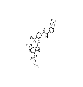 CCOC(=O)Oc1cnc(N)c2c(COc3cc(C(=O)Nc4cccc(OC(F)(F)F)c4)ccc3[N+](=O)[O-])csc12